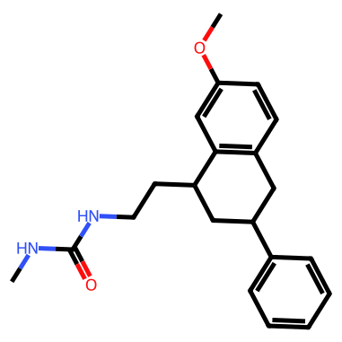 CNC(=O)NCCC1CC(c2ccccc2)Cc2ccc(OC)cc21